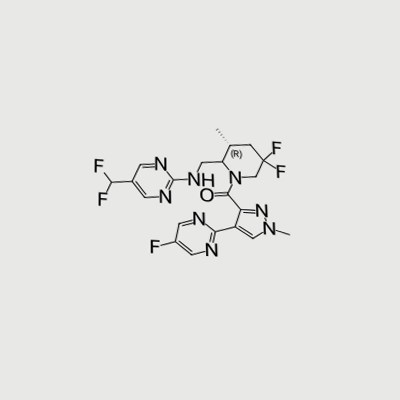 C[C@@H]1CC(F)(F)CN(C(=O)c2nn(C)cc2-c2ncc(F)cn2)C1CNc1ncc(C(F)F)cn1